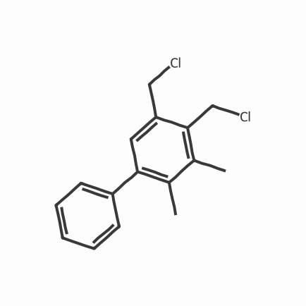 Cc1c(-c2ccccc2)cc(CCl)c(CCl)c1C